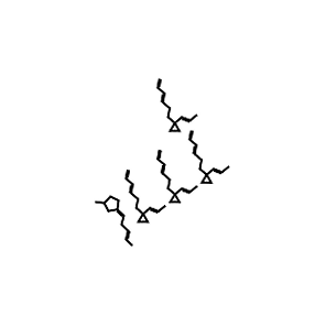 C=CC=CCCC1(C=CC)CC1.C=CC=CCCC1(C=CC)CC1.C=CC=CCCC1(C=CC)CC1.C=CC=CCCC1(C=CC)CC1.CC=CCC=C1CCC(C)C1